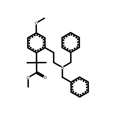 COC(=O)C(C)(C)c1ccc(OC)cc1CCN(Cc1ccccc1)Cc1ccccc1